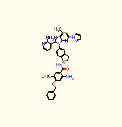 Cc1cc(-n2cccn2)nc2c1nc(-c1cccnc1N)n2-c1ccc2c(c1)CC[C@@H]2NC(=O)c1cc(C=O)c(OCc2ccccc2)cc1N